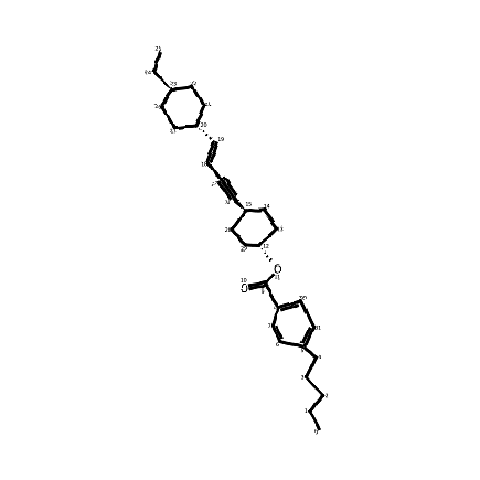 CCCCCc1ccc(C(=O)O[C@H]2CC[C@H](C#C/C=C/[C@H]3CC[C@H](CC)CC3)CC2)cc1